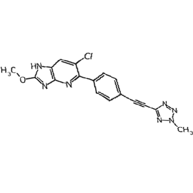 COc1nc2nc(-c3ccc(C#Cc4nnn(C)n4)cc3)c(Cl)cc2[nH]1